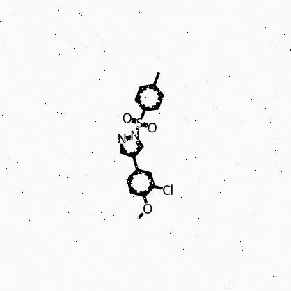 COc1ccc(-c2cnn(S(=O)(=O)c3ccc(C)cc3)c2)cc1Cl